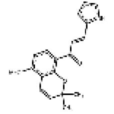 COc1ccc(C(=O)C=Cc2ccc[nH]2)c2c1C=CC(C)(C)O2